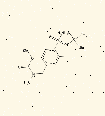 CN(Cc1ccc(S(N)(=O)=N[Si](C)(C)C(C)(C)C)c(F)c1)C(=O)OC(C)(C)C